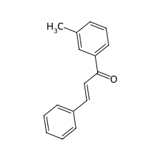 Cc1cccc(C(=O)C=Cc2ccccc2)c1